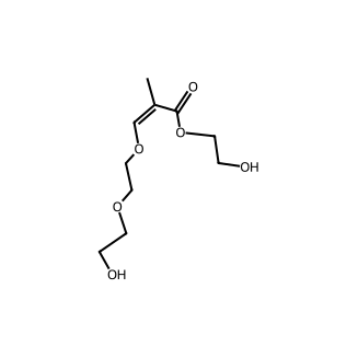 CC(=COCCOCCO)C(=O)OCCO